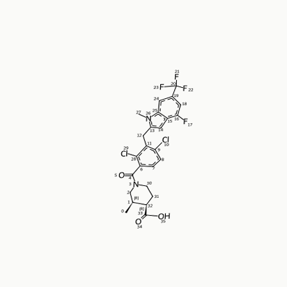 C[C@H]1CN(C(=O)c2ccc(Cl)c(Cc3cc4c(F)cc(C(F)(F)F)cc4n3C)c2Cl)CC[C@H]1C(=O)O